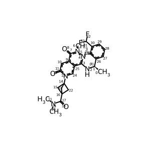 C[C@@H](Nc1nn(C)c(=O)c2cc(=O)n(C34CC(C(=O)N(C)C)(C3)C4)cc12)c1cccc(C(F)F)c1F